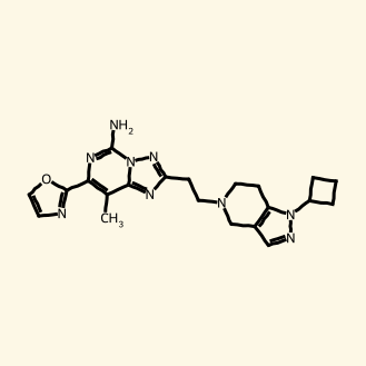 Cc1c(-c2ncco2)nc(N)n2nc(CCN3CCc4c(cnn4C4CCC4)C3)nc12